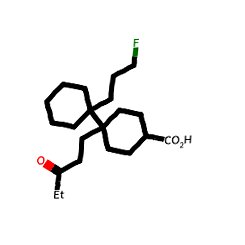 CCC(=O)CCC1(C2(CCCF)CCCCC2)CCC(C(=O)O)CC1